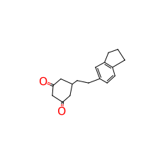 O=C1CC(=O)CC(CCc2ccc3c(c2)CCC3)C1